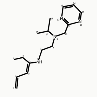 C=C/C=C(\CC)NCCN(Cc1ncccn1)C(C)C